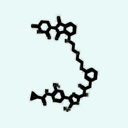 Cc1cc(-c2nc(NC(=O)Cc3cccc(OCCOCCNc4cccc5c4C(=O)N(C4CCC(=O)NC4=O)C5=O)c3)sc2C)cnc1NC(=O)C1CC1